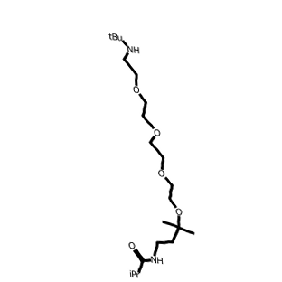 CC(C)C(=O)NCCC(C)(C)OCCOCCOCCOCCNC(C)(C)C